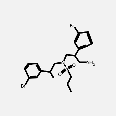 CCCS(=O)(=O)N(CC(C)c1cccc(Br)c1)CC(CN)c1cccc(Br)c1